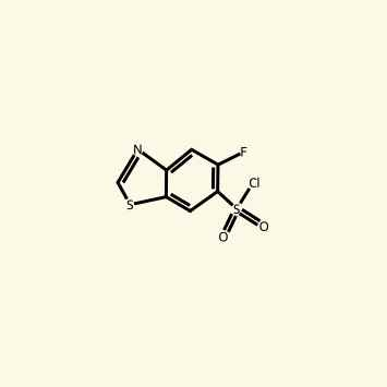 O=S(=O)(Cl)c1cc2scnc2cc1F